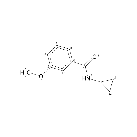 COc1cccc(C(=O)NC2CC2)c1